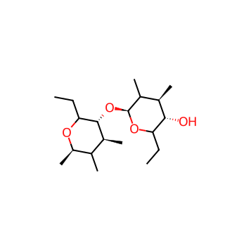 CCC1O[C@@H](O[C@H]2C(CC)O[C@H](C)C(C)[C@@H]2C)C(C)[C@@H](C)[C@@H]1O